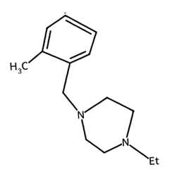 CCN1CCN(Cc2cc[c]cc2C)CC1